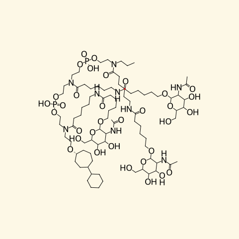 CCCN(CCOP(=O)(O)OCCN(CCOP(=O)(O)OCCN(CCO[C@@H]1CCCC(C2CCCCC2)CC1)C(=O)CCCCCNC(=O)CCCCCOC1OC(CO)C(O)C(O)C1NC(C)=O)C(=O)CCCCCNC(=O)CCCCCOC1OC(CO)C(O)C(O)C1NC(C)=O)C(=O)CCCCCNC(=O)CCCCCOC1OC(CO)C(O)C(O)C1NC(C)=O